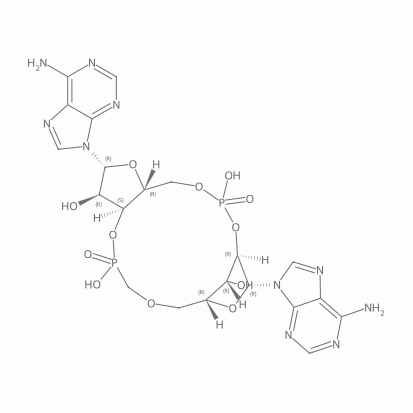 Nc1ncnc2c1ncn2[C@@H]1O[C@@H]2COP(=O)(O)O[C@@H]3[C@H](O)[C@@H](COCP(=O)(O)O[C@H]2[C@H]1O)O[C@H]3n1cnc2c(N)ncnc21